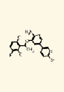 CC(Oc1cc(-c2ccc(Br)nc2)cnc1N)c1c(Cl)ccc(F)c1Cl